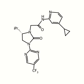 CC(C)[C@H]1CN(c2ncc(C(F)(F)F)cn2)C(=O)N1CC(=O)Nc1cc(C2CC2)ccn1